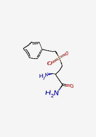 NC(=O)[C@@H](N)CS(=O)(=O)Cc1ccccc1